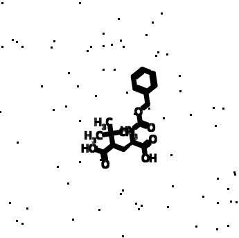 CC(C)(C)C(C[C@@H](NC(=O)OCc1ccccc1)C(=O)O)C(=O)O